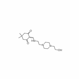 CC1(C)CC(=O)C(=CNCCN2CCN(CCO)CC2)C(=O)C1